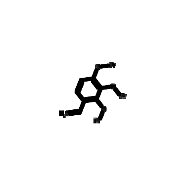 C=Cc1ccc(OC(C)C)c(OC(C)C)c1OC(C)C